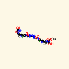 CC(C)(C)OC(=O)N1C[C@H](O)C[C@H]1C(=O)N1CC2C(C1)C2(C#N)c1ccc(-c2ccc(N3C[C@H](Cn4cc(-c5cn(C[C@H]6CN(c7ccc(-c8ccc(C9(C#N)C%10CN(C(=O)[C@@H]%11C[C@@H](O)CN%11)CC%109)nc8)c(F)c7)C(=O)O6)nn5)nn4)OC3=O)cc2F)cn1